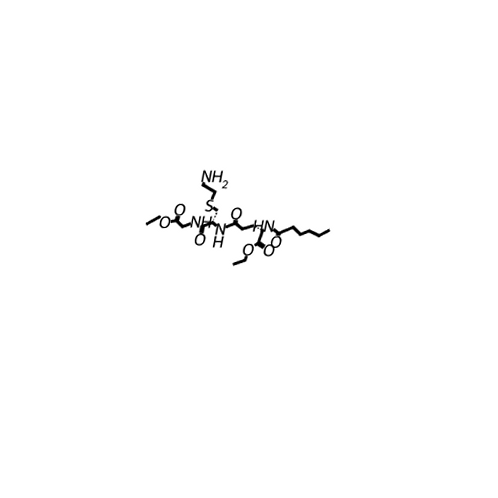 CCCCCC(=O)N[C@@H](CCC(=O)N[C@@H](CSCCN)C(=O)NCC(=O)OCC)C(=O)OCC